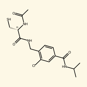 CC(=O)N[C@@H](CS)C(=O)NCc1ccc(C(=O)NC(C)C)cc1Cl